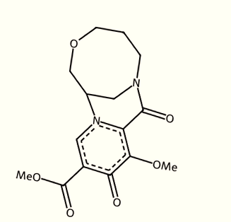 COC(=O)c1cn2c(c(OC)c1=O)C(=O)N1CCCOCC2C1